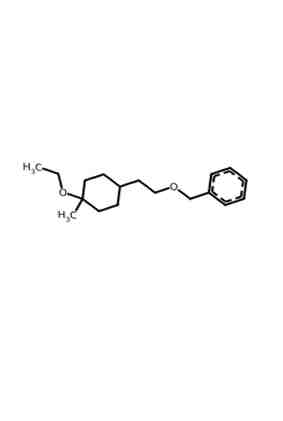 CCOC1(C)CCC(CCOCc2ccccc2)CC1